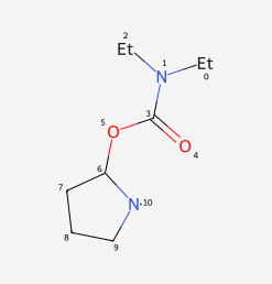 CCN(CC)C(=O)OC1CCC[N]1